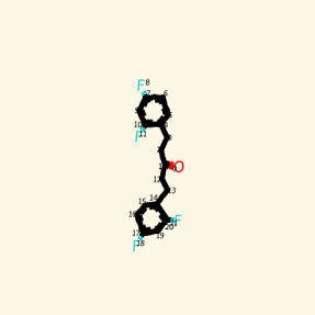 O=C(CCc1ccc(F)cc1F)CCc1ccc(F)cc1F